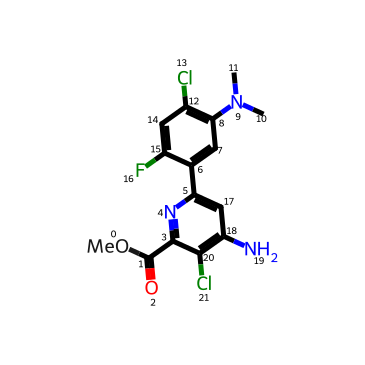 COC(=O)c1nc(-c2cc(N(C)C)c(Cl)cc2F)cc(N)c1Cl